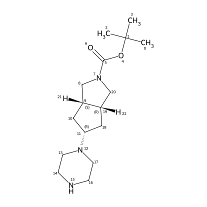 CC(C)(C)OC(=O)N1C[C@H]2C[C@@H](N3CCNCC3)C[C@H]2C1